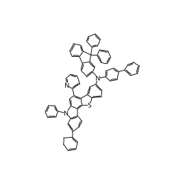 C1=CCCC(c2ccc3c4c5sc6ccc(N(c7ccc(-c8ccccc8)cc7)c7ccc8c(c7)C(c7ccccc7)(c7ccccc7)c7ccccc7-8)cc6c5c(-c5ccccn5)cc4n(-c4ccccc4)c3c2)=C1